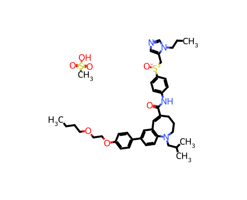 CCCCOCCOc1ccc(-c2ccc3c(c2)C=C(C(=O)Nc2ccc([S+]([O-])Cc4cncn4CCC)cc2)CCCN3CC(C)C)cc1.CS(=O)(=O)O